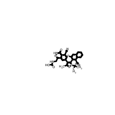 Cc1nn(C(C)(C)C)c(-c2c(F)cc3ccccc3c2C#N)c1-c1cc(C#N)c2c(=O)[nH]nc(CNC(=O)O)c2c1